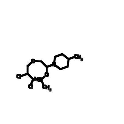 CC1CCN(C2COCC(Cl)C(Cl)[SiH](C)O2)CC1